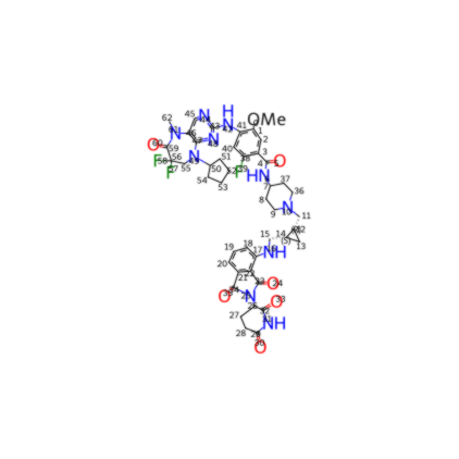 COc1cc(C(=O)NC2CCN(C[C@@H]3C[C@@H]3CNc3cccc4c3C(=O)N(C3CCC(=O)NC3=O)C4=O)CC2)c(F)cc1Nc1ncc2c(n1)N(C1CCCC1)CC(F)(F)C(=O)N2C